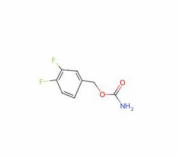 NC(=O)OCc1ccc(F)c(F)c1